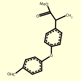 COC(=O)C(C)c1ccc(Oc2ccc(C=O)cc2)cc1